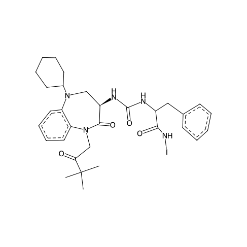 CC(C)(C)C(=O)CN1C(=O)[C@H](NC(=O)NC(Cc2ccccc2)C(=O)NI)CN(C2CCCCC2)c2ccccc21